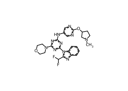 CN1CCC(Oc2ncc(Nc3nc(N4CCOCC4)nc(-n4c(C(F)F)nc5ccccc54)n3)cn2)C1